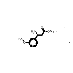 COC(=O)C[C@H](N)c1cccc(OC(F)(F)F)c1